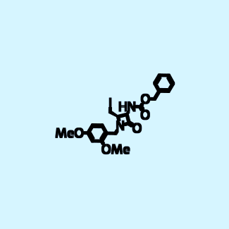 COc1ccc(CN2C(=O)[C@H](NC(=O)OCc3ccccc3)[C@@H]2CI)c(OC)c1